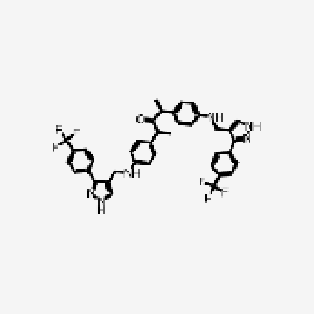 CC(C(=O)C(C)c1ccc(NCc2c[nH]nc2-c2ccc(C(F)(F)F)cc2)cc1)c1ccc(NCc2c[nH]nc2-c2ccc(C(F)(F)F)cc2)cc1